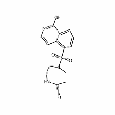 O=C1CCN(S(=O)(=O)c2cccc3c(O)nccc23)CCN1